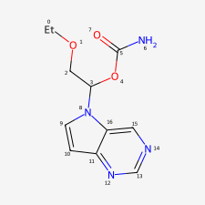 CCOCC(OC(N)=O)n1ccc2ncncc21